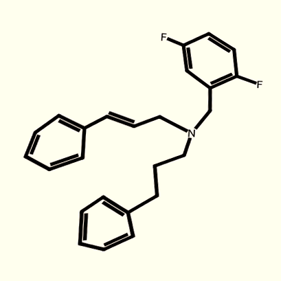 Fc1ccc(F)c(CN(CC=Cc2ccccc2)CCCc2ccccc2)c1